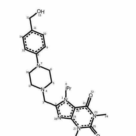 CC(C)n1c(CN2CCN(c3ccc(CO)cc3)CC2)nc2c1c(=O)n(C)c(=O)n2C